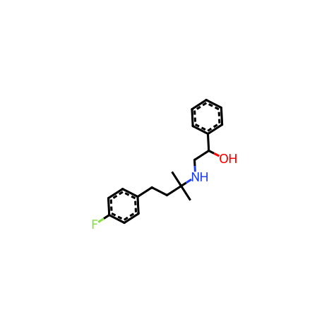 CC(C)(CCc1ccc(F)cc1)NCC(O)c1ccccc1